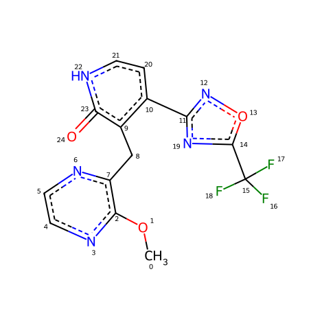 COc1nccnc1Cc1c(-c2noc(C(F)(F)F)n2)cc[nH]c1=O